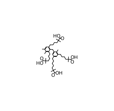 Cc1cc(CCCCC(C)(C)C(=O)O)c(Cc2cc(CCCCCC(C)(C)C(=O)O)cc(CCCCC(C)(C)C(=O)O)c2C)c(CCCCC(C)(C)C(=O)O)c1C